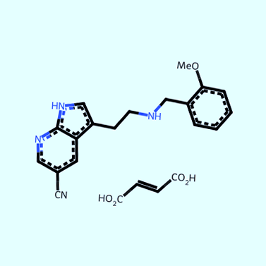 COc1ccccc1CNCCc1c[nH]c2ncc(C#N)cc12.O=C(O)/C=C/C(=O)O